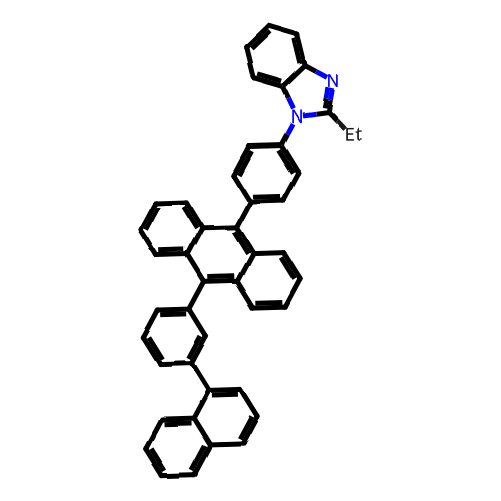 CCc1nc2ccccc2n1-c1ccc(-c2c3ccccc3c(-c3cccc(-c4cccc5ccccc45)c3)c3ccccc23)cc1